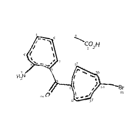 CC(=O)O.Nc1ccccc1C(=O)c1ccc(Br)cc1